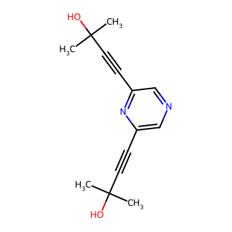 CC(C)(O)C#Cc1cncc(C#CC(C)(C)O)n1